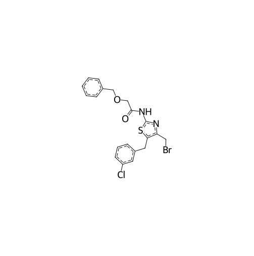 O=C(COCc1ccccc1)Nc1nc(CBr)c(Cc2cccc(Cl)c2)s1